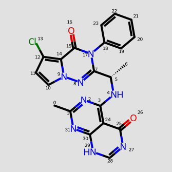 Cc1nc(N[C@@H](C)c2nn3ccc(Cl)c3c(=O)n2-c2ccccc2)c2c(=O)nc[nH]c2n1